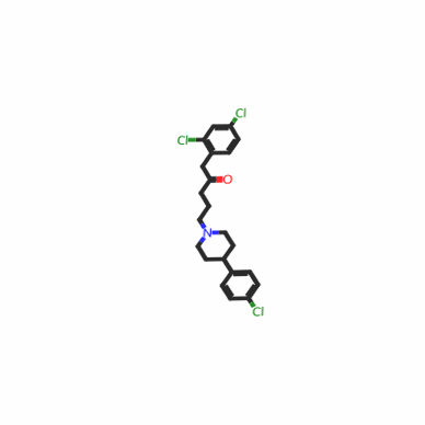 O=C(CCCN1CCC(c2ccc(Cl)cc2)CC1)Cc1ccc(Cl)cc1Cl